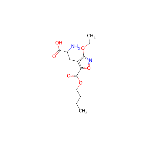 CCCCOC(=O)c1onc(OCC)c1CC(N)C(=O)O